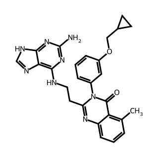 Cc1cccc2nc(CCNc3nc(N)nc4[nH]cnc34)n(-c3cccc(OCC4CC4)c3)c(=O)c12